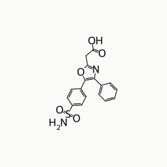 NS(=O)(=O)c1ccc(-c2oc(CC(=O)O)nc2-c2ccccc2)cc1